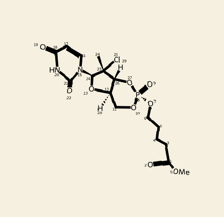 COC(=O)CCCCO[P@]1(=O)OC[C@H]2O[C@@H](n3ccc(=O)[nH]c3=O)[C@](C)(Cl)[C@@H]2O1